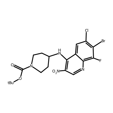 CC(C)(C)OC(=O)N1CCC(Nc2c([N+](=O)[O-])cnc3c(F)c(Br)c(Cl)cc23)CC1